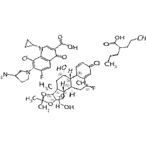 CC1(C)O[C@@H]2C[C@H]3[C@@H]4C[C@H](F)C5=CC(=O)C=C[C@]5(C)[C@H]4[C@@H](O)C[C@]3(C)[C@]2(C(=O)CO)O1.CCCC(CCC)C(=O)O.NC1CCN(c2c(F)cc3c(=O)c(C(=O)O)cn(C4CC4)c3c2Cl)C1